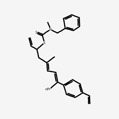 C=Cc1ccc(/C(=C/C=C(\C)CC(C=C)SC(=S)N(C)Cc2ccccc2)CCC)cc1